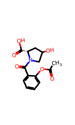 CC(=O)Oc1ccccc1C(=O)N1CC(O)C[C@H]1C(=O)O